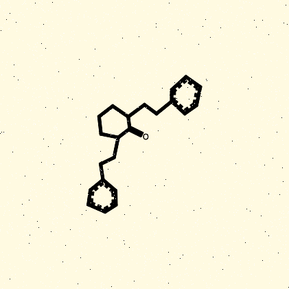 O=C1C(CCc2ccccc2)CCCC1CCc1ccccc1